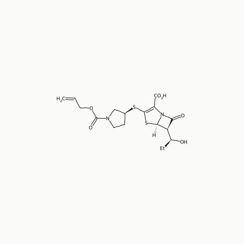 C=CCOC(=O)N1CC[C@H](SC2=C(C(=O)O)N3C(=O)[C@@H]([C@@H](O)CC)[C@H]3S2)C1